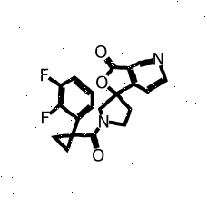 O=C1OC2(CCN(C(=O)C3(c4cccc(F)c4F)CC3)C2)c2ccncc21